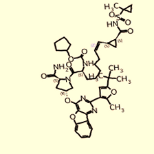 Cc1oc(C(C)(C)C)cc1-c1nc(O[C@@H]2C[C@@H](C(N)=O)N(C(=O)[C@H](CCCCC/C=C\[C@@H]3C[C@@H]3C(=O)NS(=O)(=O)C3(C)CC3)NC(=O)OC3CCCC3)C2)c2oc3ccccc3c2n1